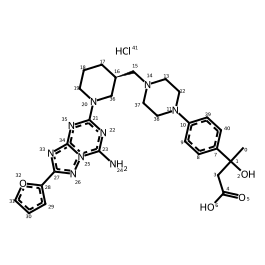 CC(O)(CC(=O)O)c1ccc(N2CCN(C[C@@H]3CCCN(c4nc(N)n5nc(-c6ccco6)nc5n4)C3)CC2)cc1.Cl